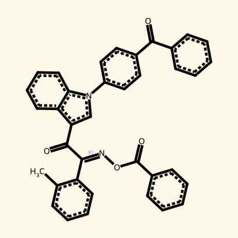 Cc1ccccc1/C(=N\OC(=O)c1ccccc1)C(=O)c1cn(-c2ccc(C(=O)c3ccccc3)cc2)c2ccccc12